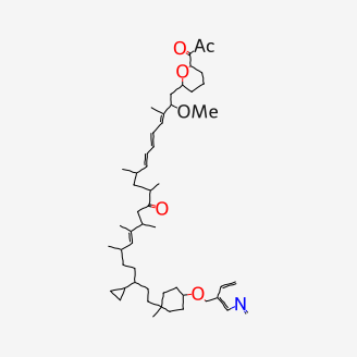 C=C/C(=C\N=C)COC1CCC(C)(CCC(CCC(C)/C=C(\C)C(C)CC(=O)C(C)CC(C)/C=C/C=C/C=C(\C)C(CC2CCCC(C(=O)C(C)=O)O2)OC)C2CC2)CC1